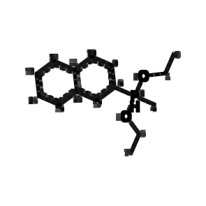 CCO[PH](C)(OCC)c1ccc2ccccc2c1